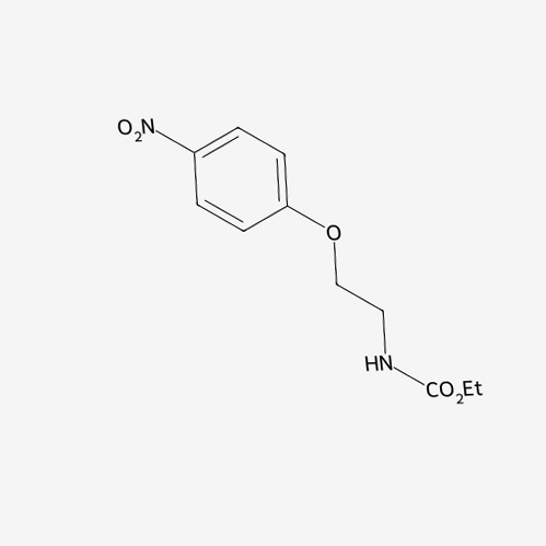 CCOC(=O)NCCOc1ccc([N+](=O)[O-])cc1